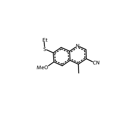 CCSc1cc2ncc(C#N)c(C)c2cc1OC